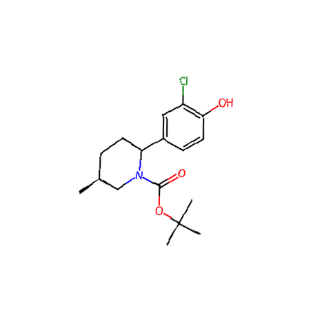 C[C@H]1CCC(c2ccc(O)c(Cl)c2)N(C(=O)OC(C)(C)C)C1